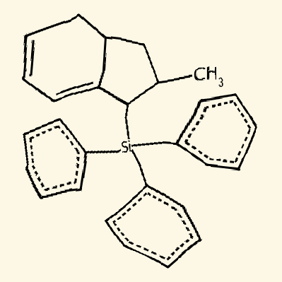 CC1CC2CC=CC=C2C1[Si](c1ccccc1)(c1ccccc1)c1ccccc1